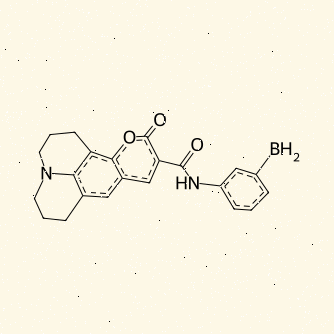 Bc1cccc(NC(=O)c2cc3cc4c5c(c3oc2=O)CCCN5CCC4)c1